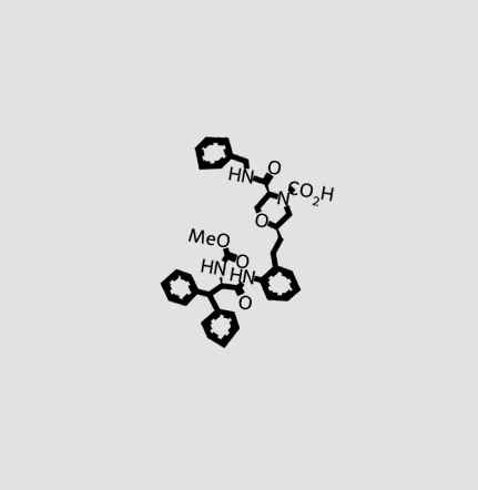 COC(=O)N[C@H](C(=O)Nc1ccccc1CC[C@@H]1CN(C(=O)O)[C@H](C(=O)NCc2ccccc2)CO1)C(c1ccccc1)c1ccccc1